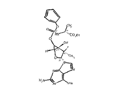 CCOC(=O)[C@@H](C)N[P@@](=O)(Oc1ccccc1)OC1[C@H]2O[C@@H](n3cnc4c(NC)nc(N)nc43)[C@](C)(F)[C@@]12O